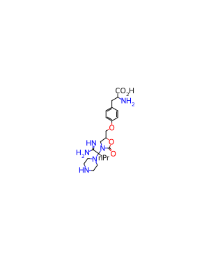 CCCC(C(=N)N)(N1CCNCC1)N1CC(COc2ccc(CC(N)C(=O)O)cc2)OC1=O